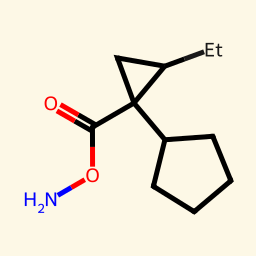 CCC1CC1(C(=O)ON)C1CCCC1